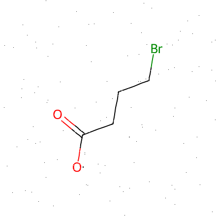 [O]C(=O)CCCBr